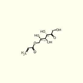 C=CC(=O)OC[C@@H](O)[C@H](O)[C@H](O)C(=O)CO